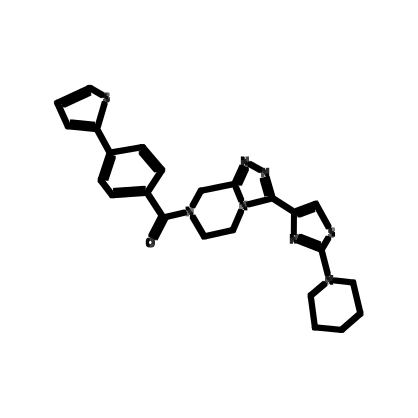 O=C(c1ccc(-c2cccs2)cc1)N1CCn2c(nnc2-c2csc(N3CCCCC3)n2)C1